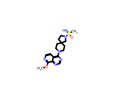 COc1nccc2c(N3CCC4(CC3)CCN(S(C)(=N)=O)C4)ncnc12